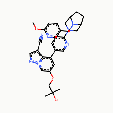 COc1ccc(CN2C3CCC2CN(c2ccc(-c4cc(OCC(C)(C)O)cn5ncc(C#N)c45)cn2)C3)cn1